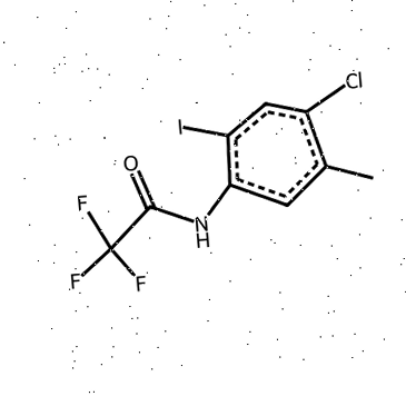 Cc1cc(NC(=O)C(F)(F)F)c(I)cc1Cl